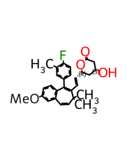 COc1ccc2c(c1)C=CC(C)(C)C(C=C[C@H]1C[C@H](O)CC(=O)O1)=C2c1ccc(F)c(C)c1